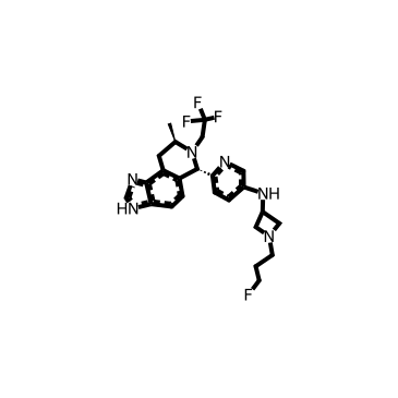 C[C@@H]1Cc2c(ccc3[nH]cnc23)[C@@H](c2ccc(NC3CN(CCCF)C3)cn2)N1CC(F)(F)F